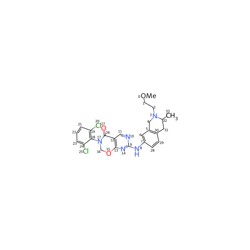 COCCN1Cc2cc(Nc3ncc4c(n3)OCN(c3c(Cl)cccc3Cl)C4=O)ccc2CC1C